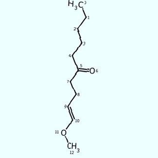 CCCCCC(=O)CCC=COC